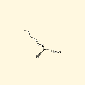 CCC/C=C/C=C(C#N)C#N